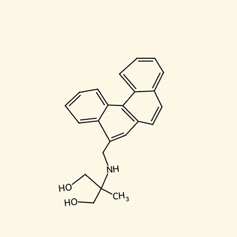 CC(CO)(CO)NCc1cc2ccc3ccccc3c2c2ccccc12